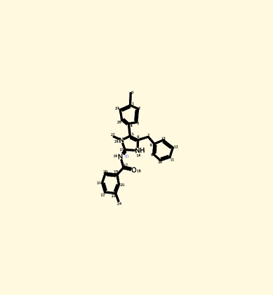 Cc1ccc(-c2c(Cc3ccccc3)[nH]/c(=N\C(=O)c3cccc(C)c3)n2C)cc1